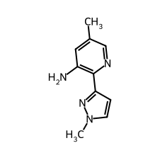 Cc1cnc(-c2ccn(C)n2)c(N)c1